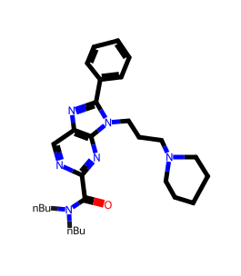 CCCCN(CCCC)C(=O)c1ncc2nc(-c3ccccc3)n(CCCN3CCCCC3)c2n1